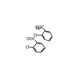 O=C([O-])c1ccccc1Cl.O=C([O-])c1ccccc1Cl.[Fe+2]